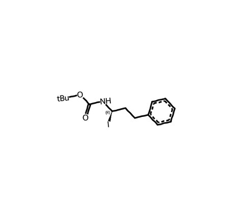 CC(C)(C)OC(=O)N[C@H](I)CCc1ccccc1